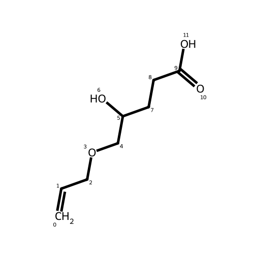 C=CCOCC(O)CCC(=O)O